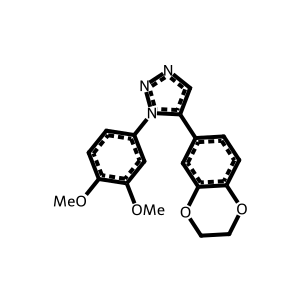 COc1ccc(-n2nncc2-c2ccc3c(c2)OCCO3)cc1OC